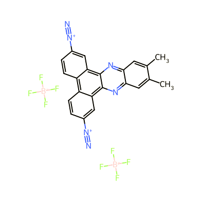 Cc1cc2nc3c4cc([N+]#N)ccc4c4ccc([N+]#N)cc4c3nc2cc1C.F[B-](F)(F)F.F[B-](F)(F)F